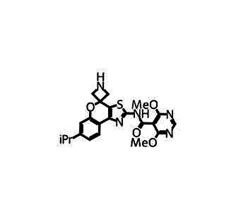 COc1ncnc(OC)c1C(=O)Nc1nc2c(s1)C1(CNC1)Oc1cc(C(C)C)ccc1-2